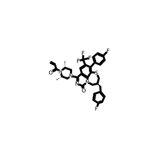 C=CC(=O)N1[C@H](C)CN(c2nc(=O)n3c4c(c(-c5ccc(F)cc5)c(C(F)(F)F)cc24)SC[C@@H](Cc2ccc(F)cc2)C3)C[C@@H]1C